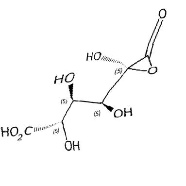 O=C(O)[C@@H](O)[C@@H](O)[C@H](O)[C@]1(O)OC1=O